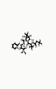 CN(C)C(=O)C(=O)[C@H](Cc1ccccn1)NC(=O)[C@@H]1[C@@H]2[C@H](CN1C(=O)[C@@H](NC(=O)CC(C)(C)C)C(C)(C)C)C2(C)C